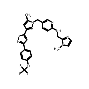 Cc1cc(-c2nc(-c3ccc(OC(F)(F)F)cc3)no2)nn1Cc1ccc(NCc2nccn2C)nc1